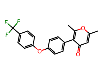 Cc1cc(=O)c(-c2ccc(Oc3ccc(C(F)(F)F)cc3)cc2)c(C)o1